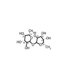 C[C@@H]1OC(OC2O[C@@H](C)[C@@H](O)[C@@H](O)[C@@H]2O)[C@@H](O)[C@H](O)[C@@H]1O